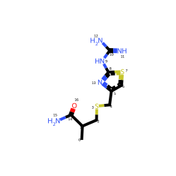 CC(CSCc1csc(NC(=N)N)n1)C(N)=O